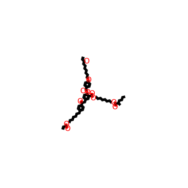 C=CC(=O)CCCCCCCOc1ccc(C(=O)Oc2ccc(CC(=O)c3ccc(CCCCCCCOC(=O)C=C)cc3)cc2C(=O)OCCCCCCCCOC(=O)C(C)CCCC)cc1